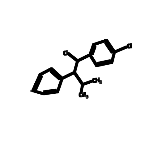 CC(C)C(c1cc[c]cc1)C(Cl)c1ccc(Cl)cc1